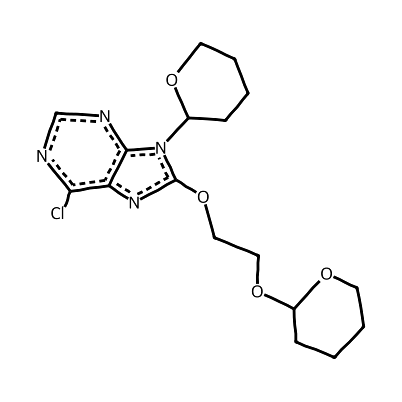 Clc1ncnc2c1nc(OCCOC1CCCCO1)n2C1CCCCO1